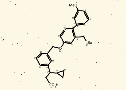 COc1cccc(-c2ncc(OCc3cccc(C(CC(=O)O)C4CC4)c3)cc2CC(C)(C)C)c1